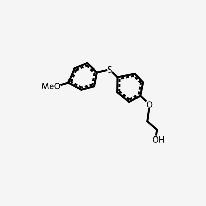 COc1ccc(Sc2ccc(OCCO)cc2)cc1